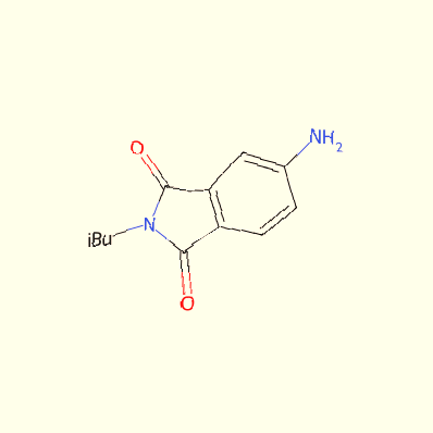 CCC(C)N1C(=O)c2ccc(N)cc2C1=O